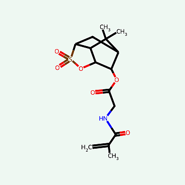 C=C(C)C(=O)NCC(=O)OC1C2OS(=O)(=O)C3CC1C(C)(C)C23